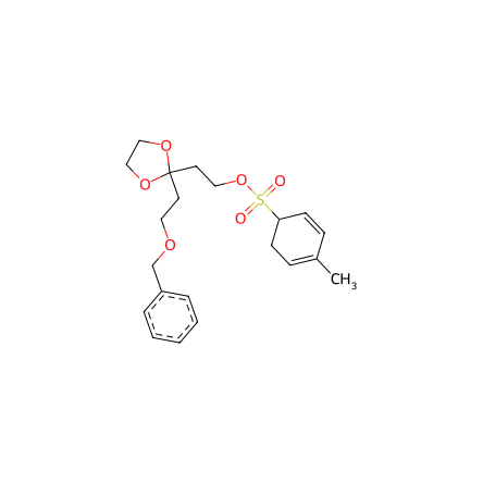 CC1=CCC(S(=O)(=O)OCCC2(CCOCc3ccccc3)OCCO2)C=C1